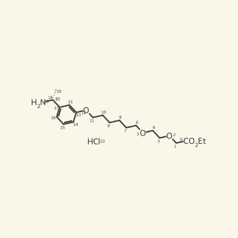 CCOC(=O)COCCOCCCCCCOc1cccc([C@@H](C)N)c1.Cl